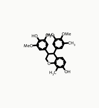 COc1cc(C2COc3c(ccc(O)c3C)C2c2cc(C)c(OC)c(C)c2)cc(OC)c1O